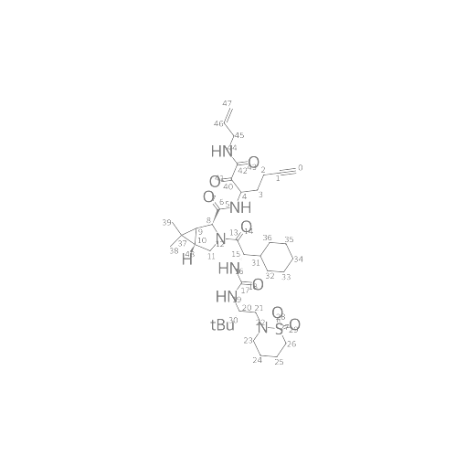 C#CCCC(NC(=O)[C@@H]1C2[C@H](CN1C(=O)[C@@H](NC(=O)N[C@H](CN1CCCCS1(=O)=O)C(C)(C)C)C1CCCCC1)C2(C)C)C(=O)C(=O)NCC=C